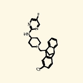 Fc1cnc(NC2CCN(CC34CC(c5ccccc53)c3ccc(Cl)cc34)CC2)nc1